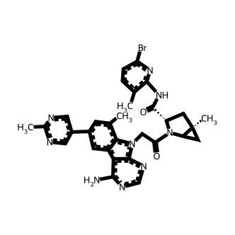 Cc1ncc(-c2cc(C)c3c(c2)c2c(N)ncnc2n3CC(=O)N2C3C[C@]3(C)C[C@H]2C(=O)Nc2nc(Br)ccc2C)cn1